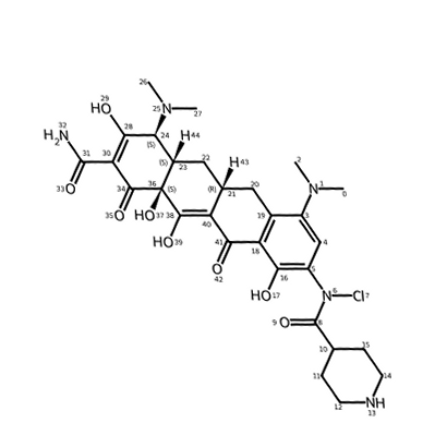 CN(C)c1cc(N(Cl)C(=O)C2CCNCC2)c(O)c2c1C[C@H]1C[C@H]3[C@H](N(C)C)C(O)=C(C(N)=O)C(=O)[C@@]3(O)C(O)=C1C2=O